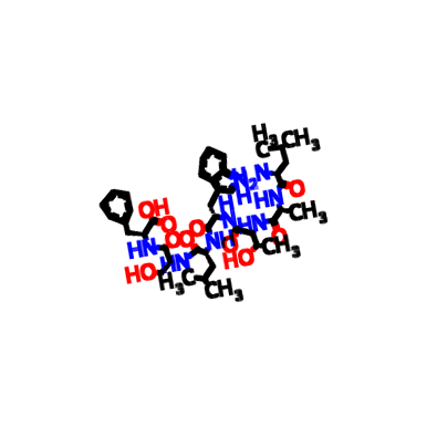 CC(C)C[C@H](NC(=O)[C@H](Cc1c[nH]c2ccccc12)NC(=O)[C@@H](NC(=O)[C@H](C)NC(=O)[C@@H](N)CC(C)C)[C@@H](C)O)C(=O)N[C@@H](CO)C(=O)N[C@@H](Cc1ccccc1)C(=O)O